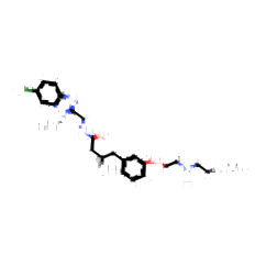 CCCn1c(C[N]C(=O)CC(C)Cc2cccc(OCCNCCOC)c2)nc2ccc(Cl)cc21